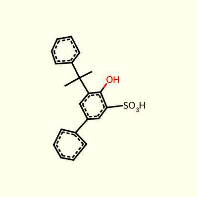 CC(C)(c1ccccc1)c1cc(-c2ccccc2)cc(S(=O)(=O)O)c1O